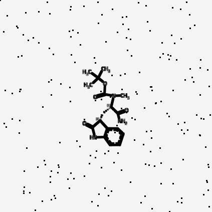 CN(C(=O)OC(C)(C)C)[C@@H](C[C@H]1C(=O)Nc2ccccc21)C(N)=O